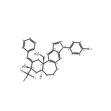 CC[C@]12CC(=Cc3ccccc3)[C@@](O)(C(F)(F)F)C[C@@H]1CCCc1cc3c(cnn3-c3ccc(F)cc3)cc12